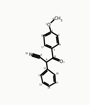 COc1ccc(C(=O)C(C#N)c2ccccc2)cc1